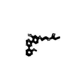 C=CC(=O)OCCOc1ccc(-c2ncnc(-c3ccccc3OC)n2)c(O)c1